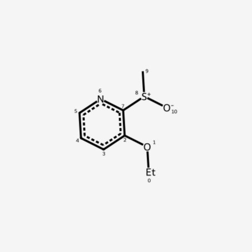 CCOc1cccnc1[S+](C)[O-]